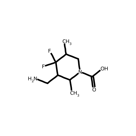 CC1C(CN)C(F)(F)C(C)CN1C(=O)O